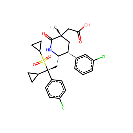 C[C@@]1(CC(=O)O)C[C@H](c2cccc(Cl)c2)[C@H](C[C@@](c2ccc(Cl)cc2)(C2CC2)S(=O)(=O)C2CC2)NC1=O